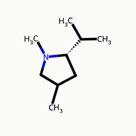 CC1C[C@@H](C(C)C)N(C)C1